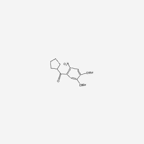 COc1cc(C(=O)C2CCCC2)c([N+](=O)[O-])cc1OC